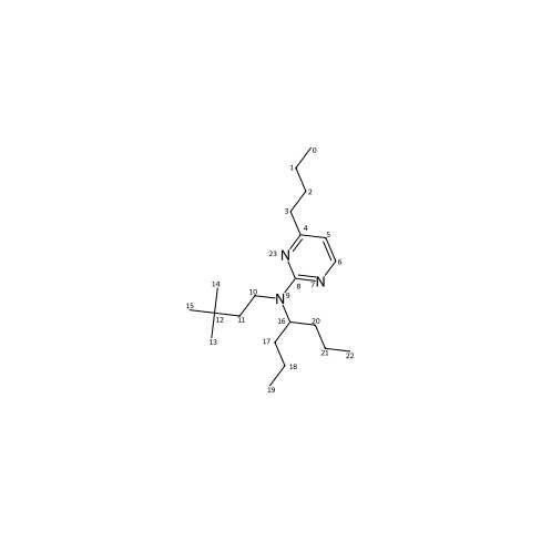 CCCCc1ccnc(N(CCC(C)(C)C)C(CCC)CCC)n1